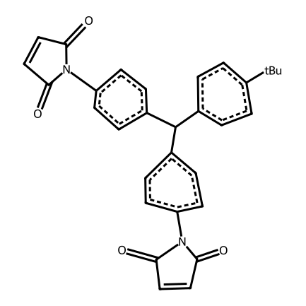 CC(C)(C)c1ccc(C(c2ccc(N3C(=O)C=CC3=O)cc2)c2ccc(N3C(=O)C=CC3=O)cc2)cc1